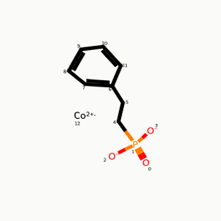 O=P([O-])([O-])CCc1ccccc1.[Co+2]